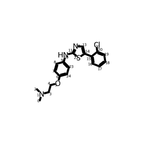 CN(C)CCOc1ccc(Nc2ncc(-c3ccccc3Cl)s2)cc1